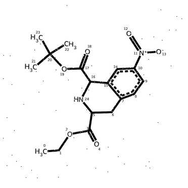 CCOC(=O)C1Cc2ccc([N+](=O)[O-])cc2C(C(=O)OC(C)(C)C)N1